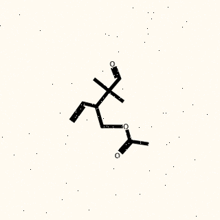 C=CC(COC(C)=O)C(C)(C)C=O